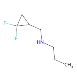 CCCNCC1CC1(F)F